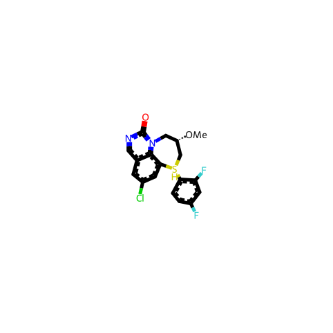 CO[C@H]1Cn2c(=O)ncc3cc(Cl)cc(c32)[SH](c2ccc(F)cc2F)C1